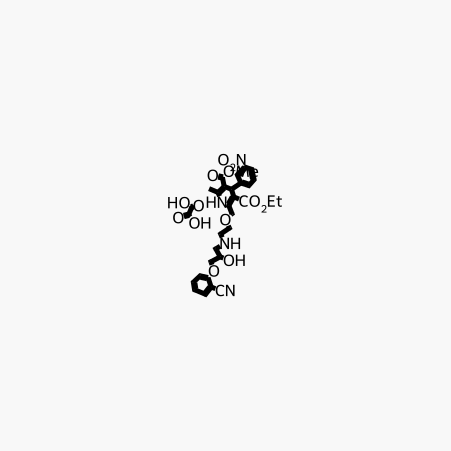 CCOC(=O)C1=C(COCCNCC(O)COc2ccccc2C#N)NC(C)=C(C(=O)OC)C1c1cccc([N+](=O)[O-])c1.O=C(O)C(=O)O